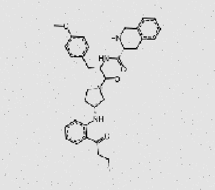 CCCC(=O)c1ccccc1N[C@@H]1CCN(C(=O)[C@@H](Cc2ccc(OC)cc2)NC(=O)[C@H]2Cc3ccccc3CN2)C1